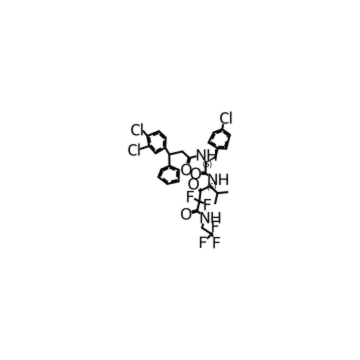 CC(C)[C@H](NC(=O)[C@H](Cc1ccc(Cl)cc1)NC(=O)CC(c1ccccc1)c1ccc(Cl)c(Cl)c1)C(=O)C(F)(F)C(=O)NCC(F)(F)F